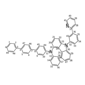 c1ccc(-c2ccc(-c3ccc(N(c4ccccc4)c4cccc5c4c4ccccc4n5-c4cccc(-c5ccccn5)c4)cc3)cc2)cc1